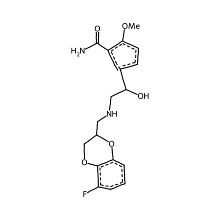 COc1ccc(C(O)CNCC2COc3c(F)cccc3O2)cc1C(N)=O